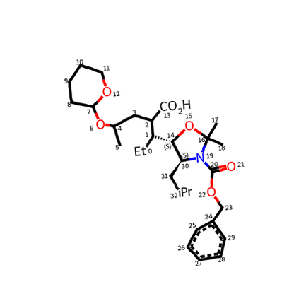 CCC(C(CC(C)OC1CCCCO1)C(=O)O)[C@@H]1OC(C)(C)N(C(=O)OCc2ccccc2)[C@H]1CC(C)C